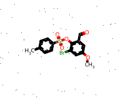 COc1cc(Br)c(OS(=O)(=O)c2ccc(C)cc2)c(C=O)c1